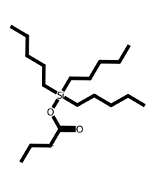 CC[CH]C(=O)O[Si](CCCCC)(CCCCC)CCCCC